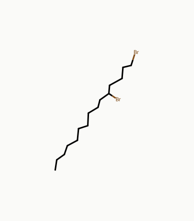 CCCCCCCCCCC(Br)CCCCBr